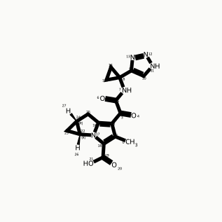 Cc1c(C(=O)C(=O)NC2(c3c[nH]nn3)CC2)c2n(c1C(=O)O)[C@@H]1C[C@@H]1C2